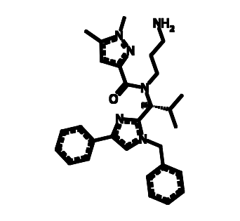 Cc1cc(C(=O)N(CCCN)[C@@H](c2nc(-c3ccccc3)cn2Cc2ccccc2)C(C)C)nn1C